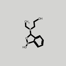 CCN(CCO)C1OB(O)c2ccccc21